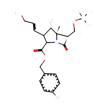 C[C@@H](O[Si](C)(C)C(C)(C)C)[C@H]1C(=O)N2C(C(=O)OCc3ccc([N+](=O)[O-])cc3)C(/C=C/CO)[C@H](C)[C@H]12